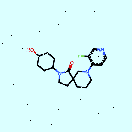 O=C1N(C2CCC(O)CC2)CCC12CCCN(c1ccncc1F)C2